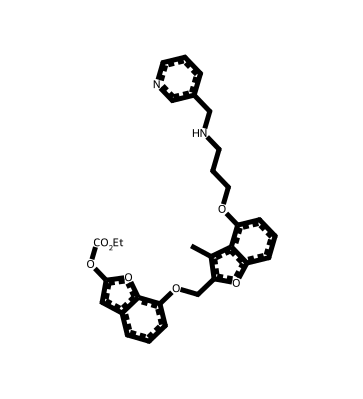 CCOC(=O)Oc1cc2cccc(OCc3oc4cccc(OCCCNCc5cccnc5)c4c3C)c2o1